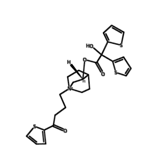 O=C(CCC[N+]12CCC(CC1)[C@@H](OC(=O)C(O)(c1cccs1)c1cccs1)C2)c1cccs1